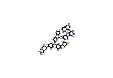 CC1(C)c2ccccc2-c2ccc(N(c3ccc(-c4ccc5ccccc5c4)cc3)c3cccc(-c4cccc(-c5ccc6c(c5)c5ccccc5n6-c5cccc6ccccc56)c4)c3)cc21